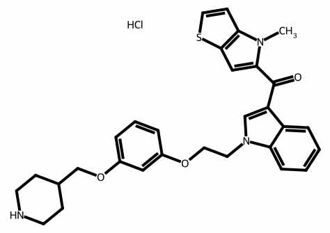 Cl.Cn1c(C(=O)c2cn(CCOc3cccc(OCC4CCNCC4)c3)c3ccccc23)cc2sccc21